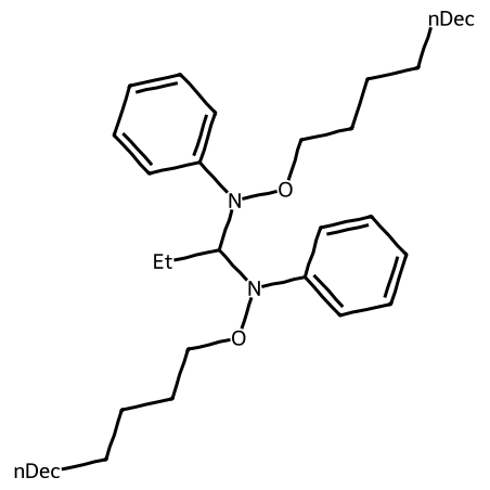 CCCCCCCCCCCCCCON(c1ccccc1)C(CC)N(OCCCCCCCCCCCCCC)c1ccccc1